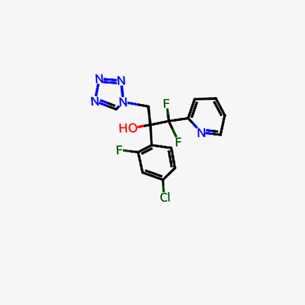 OC(Cn1cnnn1)(c1ccc(Cl)cc1F)C(F)(F)c1ccccn1